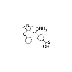 Cc1nn(C)c(Oc2ccccc2)c1C=C(ON)c1ccc(C(O)=S)cc1